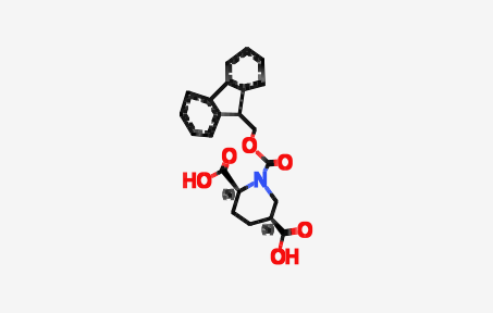 O=C(O)[C@H]1CC[C@@H](C(=O)O)N(C(=O)OCC2c3ccccc3-c3ccccc32)C1